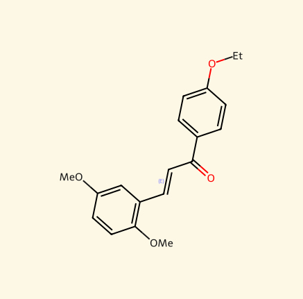 CCOc1ccc(C(=O)/C=C/c2cc(OC)ccc2OC)cc1